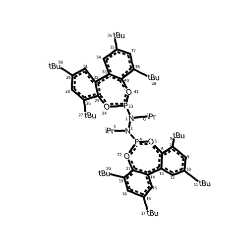 CC(C)N(N(C(C)C)p1oc2c(C(C)(C)C)cc(C(C)(C)C)cc2c2cc(C(C)(C)C)cc(C(C)(C)C)c2o1)p1oc2c(C(C)(C)C)cc(C(C)(C)C)cc2c2cc(C(C)(C)C)cc(C(C)(C)C)c2o1